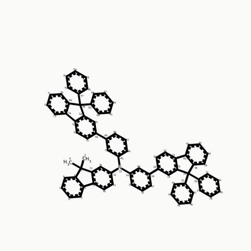 CC1(C)c2ccccc2-c2ccc(N(c3cccc(-c4ccc5c(c4)C(c4ccccc4)(c4ccccc4)c4ccccc4-5)c3)c3cccc(-c4ccc5c(c4)C(c4ccccc4)(c4ccccc4)c4ccccc4-5)c3)cc21